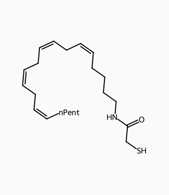 CCCCC/C=C\C/C=C\C/C=C\C/C=C\CCCCNC(=O)CS